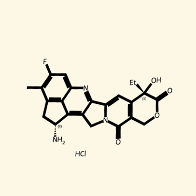 CC[C@@]1(O)C(=O)OCc2c1cc1n(c2=O)Cc2c-1nc1cc(F)c(C)c3c1c2[C@H](N)C3.Cl